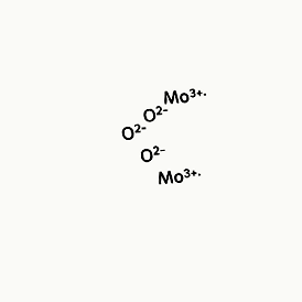 [Mo+3].[Mo+3].[O-2].[O-2].[O-2]